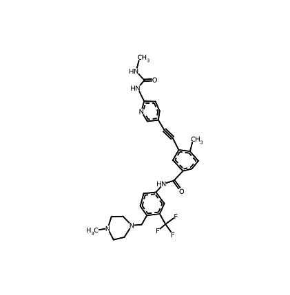 CNC(=O)Nc1ccc(C#Cc2cc(C(=O)Nc3ccc(CN4CCN(C)CC4)c(C(F)(F)F)c3)ccc2C)cn1